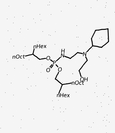 CCCCCCCCC(CCCCCC)COP(=O)(NCCN(CCO)C1CCCCC1)OCC(CCCCCC)CCCCCCCC